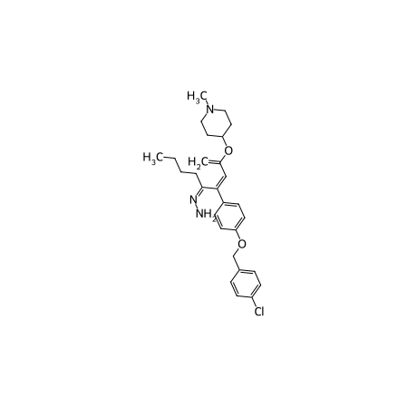 C=C(/C=C(\C(CCCC)=N/N)c1ccc(OCc2ccc(Cl)cc2)cc1)OC1CCN(C)CC1